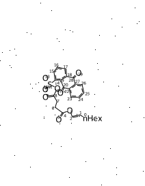 CCCCCCC=COC(=O)CCC(=O)OS(=O)(=O)c1cccc2c1C(=O)c1ccccc1C2=O